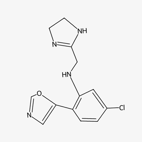 Clc1ccc(-c2cnco2)c(NCC2=NCCN2)c1